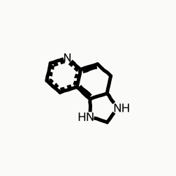 C1=c2ncccc2=C2NCNC2C1